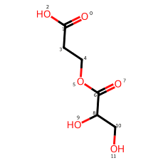 O=C(O)CCOC(=O)C(O)CO